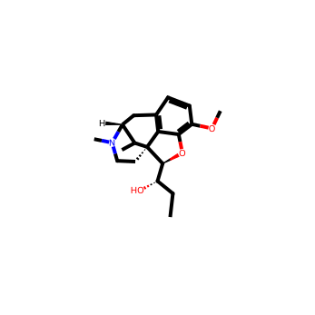 CC[C@H](O)[C@@H]1Oc2c(OC)ccc3c2[C@@]12CCN(C)[C@H](C3)C2C